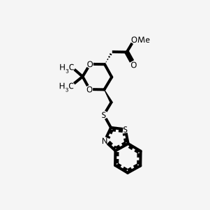 COC(=O)C[C@@H]1C[C@@H](CSc2nc3ccccc3s2)OC(C)(C)O1